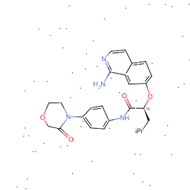 CC(C)C[C@H](Oc1ccc2ccnc(N)c2c1)C(=O)Nc1ccc(N2CCOCC2=O)cc1